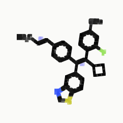 COc1ccc(/C(=C(\c2ccc(/C=C/C(=O)O)cc2)c2ccc3scnc3c2)C2CCC2)c(F)c1